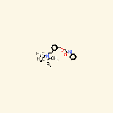 CC(C)N(CCc1cccc(COCC(=O)Nc2ccccc2)c1)C(C)C